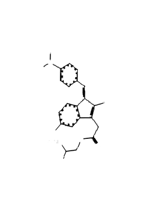 CCOC(=O)C(CSC(=O)CC1=C(C)/C(=C/c2ccc([S+](C)[O-])cc2)c2ccc(F)cc21)NC(C)=O